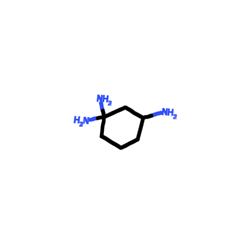 NC1CCCC(N)(N)C1